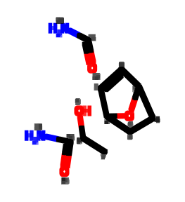 C1=CC2CCC1O2.CCO.NC=O.NC=O